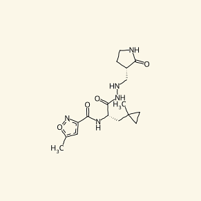 Cc1cc(C(=O)N[C@@H](CC2(C)CC2)C(=O)NNC[C@@H]2CCNC2=O)no1